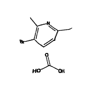 Cc1ccc(Br)c(C)n1.O=C(O)O